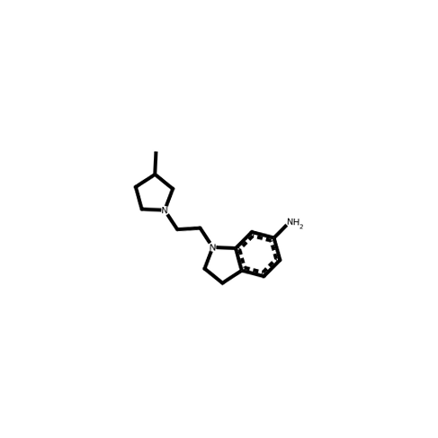 CC1CCN(CCN2CCc3ccc(N)cc32)C1